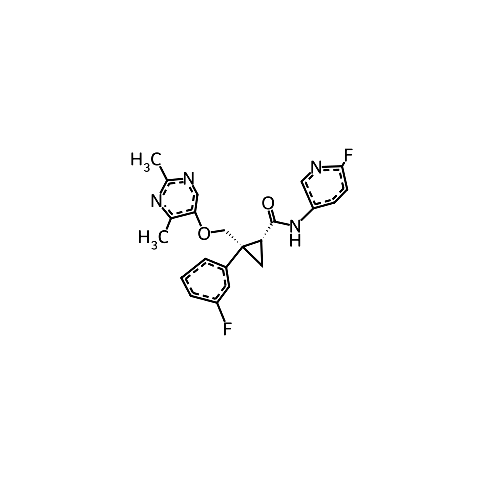 Cc1ncc(OC[C@@]2(c3cccc(F)c3)C[C@H]2C(=O)Nc2ccc(F)nc2)c(C)n1